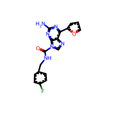 Nc1nc(-c2ccco2)c2ncn(C(=O)NCc3ccc(F)cc3)c2n1